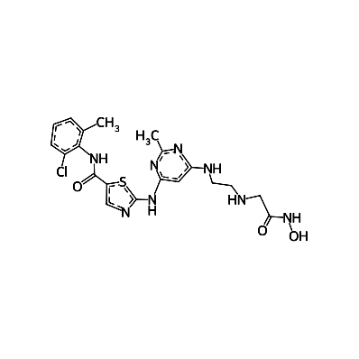 Cc1nc(NCCNCC(=O)NO)cc(Nc2ncc(C(=O)Nc3c(C)cccc3Cl)s2)n1